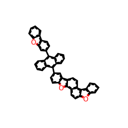 c1ccc2c(c1)oc1cc(-c3c4ccccc4c(-c4ccc5oc6c(ccc7c6ccc6oc8ccccc8c67)c5c4)c4ccccc34)ccc12